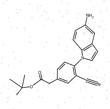 CC(C)(C)OC(=O)Cc1ccc(-n2ccc3cc(N)ccc32)c(C#N)c1